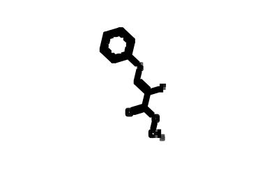 COC(=O)C(F)=CSc1ccccc1